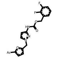 CC(=O)c1ccc(Cn2ccc(NC(=O)OCc3cccc(F)c3F)n2)o1